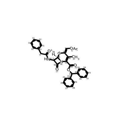 CC(=O)O/C=C1/S[C@@H]2C(NC(=O)Cc3ccccc3)C(=O)N2C(C(=O)OC(c2ccccc2)c2ccccc2)=C1C